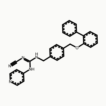 N#C/N=C(/NCc1ccc(COc2ccccc2-c2ccccc2)cc1)Nc1ccncc1